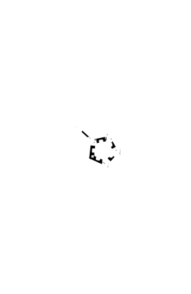 [CH2]C(C)n1cnnn1